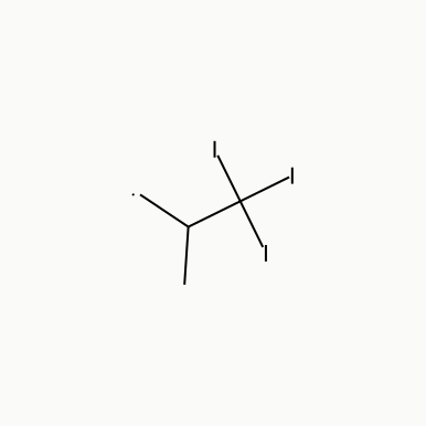 [CH2]C(C)C(I)(I)I